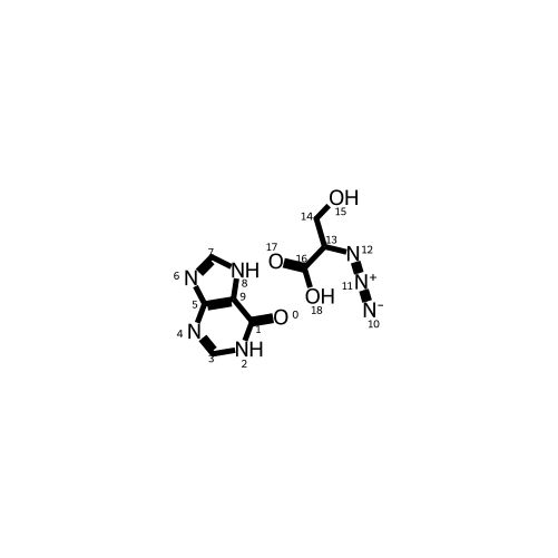 O=c1[nH]cnc2nc[nH]c12.[N-]=[N+]=NC(CO)C(=O)O